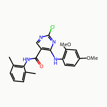 COc1ccc(Nc2nc(Cl)ncc2C(=O)Nc2c(C)cccc2C)c(OC)c1